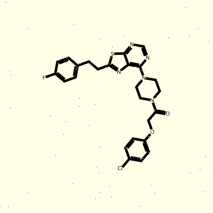 O=C(COc1ccc(Cl)cc1)N1CCN(c2ncnc3sc(CCc4ccc(F)cc4)nc23)CC1